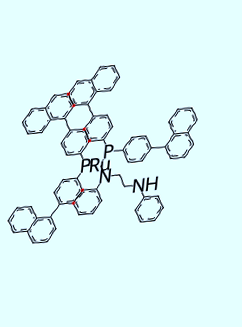 c1ccc(NCC[N](c2ccccc2)[Ru]([P](c2ccc(-c3cccc4ccccc34)cc2)c2ccc(-c3cccc4ccccc34)cc2)[P](c2ccc(-c3cccc4ccccc34)cc2)c2ccc(-c3cccc4ccccc34)cc2)cc1